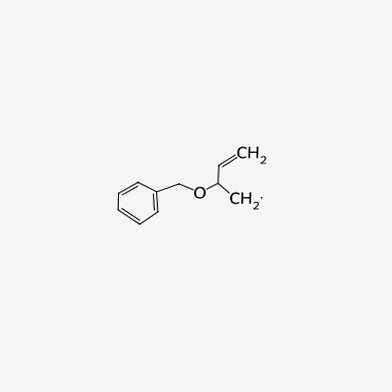 [CH2]C(C=C)OCc1ccccc1